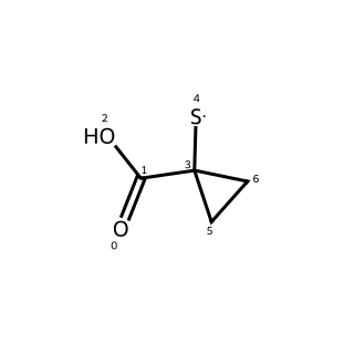 O=C(O)C1([S])CC1